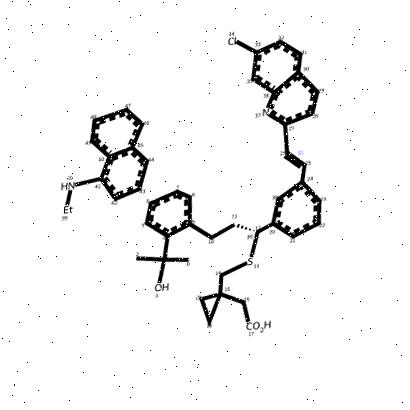 CC(C)(O)c1ccccc1CC[C@@H](SCC1(CC(=O)O)CC1)c1cccc(/C=C/c2ccc3ccc(Cl)cc3n2)c1.CCNc1cccc2ccccc12